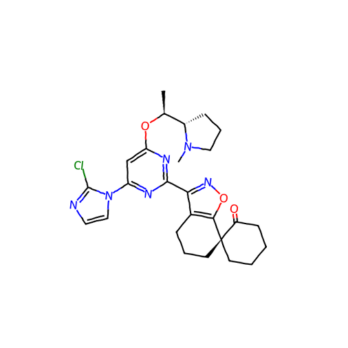 C[C@H](Oc1cc(-n2ccnc2Cl)nc(-c2noc3c2CCC[C@@]32CCCCC2=O)n1)[C@@H]1CCCN1C